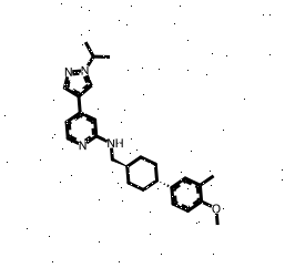 COc1ccc([C@H]2CC[C@H](CNc3cc(-c4cnn(C(C)C)c4)ccn3)CC2)cc1C